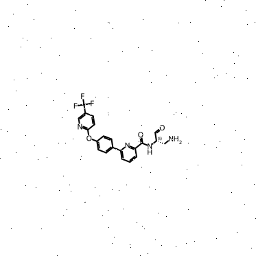 NC[C@@H](C=O)NC(=O)c1cccc(-c2ccc(Oc3ccc(C(F)(F)F)cn3)cc2)n1